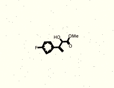 C=C(c1ccc(F)cc1)C(O)C(=O)OC